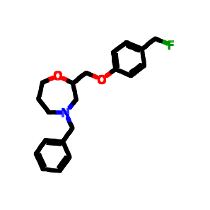 FCc1ccc(OCC2CN(Cc3ccccc3)CCCO2)cc1